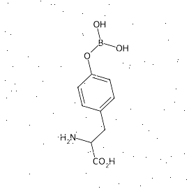 NC(Cc1ccc(OB(O)O)cc1)C(=O)O